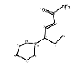 CCC(C=CC(N)=O)N1CCCCC1